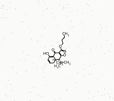 CCCCOc1noc2c1C(=O)C1=C(O)C=CC[C@@]1(C)[C@H]2N(C)C